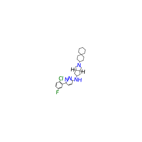 Fc1ccc(Cl)c(-c2ccc(N[C@H]3C[C@@H]4CN(C5CCC6(CCCCC6)CC5)C[C@@H]4C3)nn2)c1